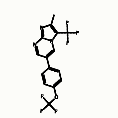 Cc1nc2ncc(-c3ccc(OC(F)(F)F)cc3)cn2c1C(F)(F)F